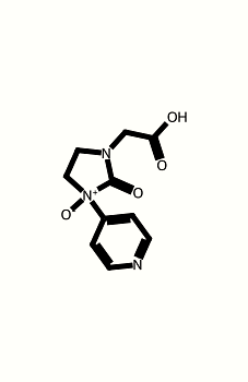 O=C(O)CN1CC[N+]([O-])(c2ccncc2)C1=O